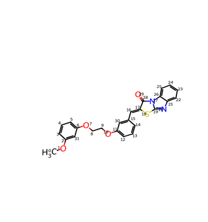 COc1cccc(OCCOc2cccc(C=c3sc4nc5ccccc5n4c3=O)c2)c1